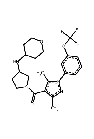 Cc1nn(-c2cccc(OC(F)(F)F)c2)c(C)c1C(=O)N1CCC(NC2CCOCC2)C1